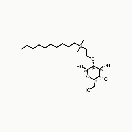 CCCCCCCCCC[Si](C)(C)CCO[C@@H]1[C@@H](O)[C@H](O)[C@@H](CO)O[C@H]1O